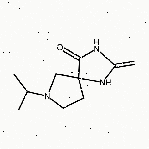 C=C1NC(=O)C2(CCN(C(C)C)C2)N1